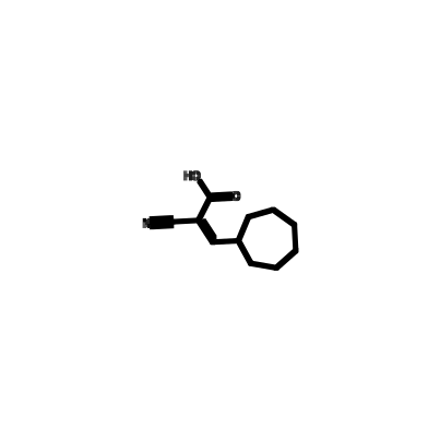 N#CC(=CC1CCCCCC1)C(=O)O